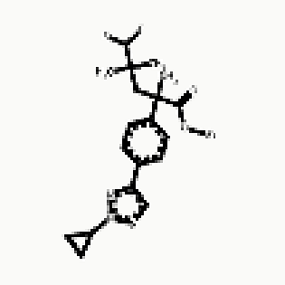 CC(C)OC(=O)C(N)(CC(C)(C)C(F)F)c1ccc(-c2cnn(C3CC3)n2)cc1